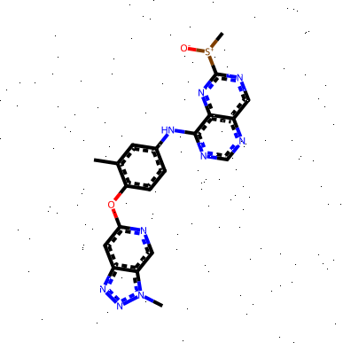 Cc1cc(Nc2ncnc3cnc([S+](C)[O-])nc23)ccc1Oc1cc2nnn(C)c2cn1